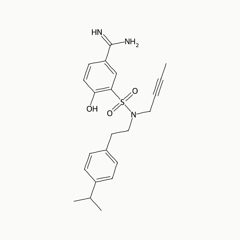 CC#CCN(CCc1ccc(C(C)C)cc1)S(=O)(=O)c1cc(C(=N)N)ccc1O